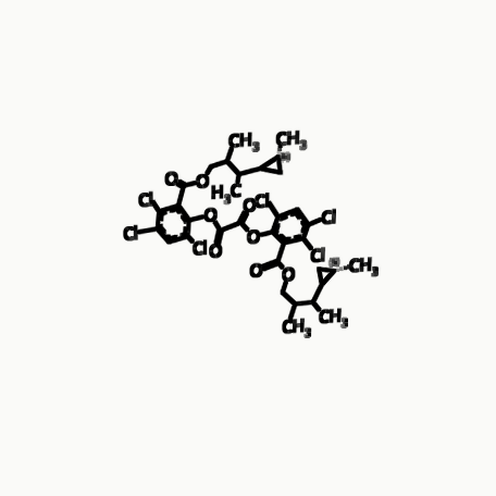 CC(COC(=O)c1c(Cl)c(Cl)cc(Cl)c1OC(=O)C(=O)Oc1c(Cl)cc(Cl)c(Cl)c1C(=O)OCC(C)C(C)C1C[C@@H]1C)C(C)C1C[C@H]1C